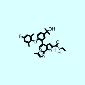 CCNC(=O)c1cc2c(-c3cc(C(C)(C)O)ccc3Oc3c(C)cc(F)cc3C)cn3c(C)cnc3c2[nH]1